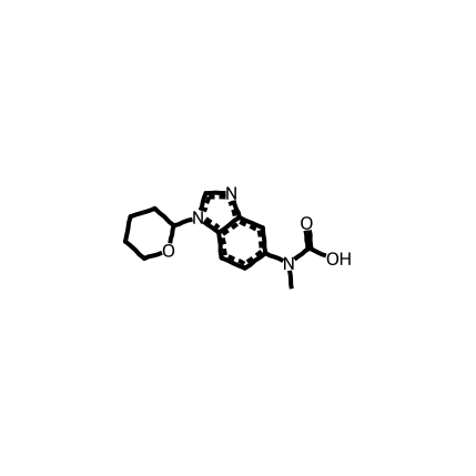 CN(C(=O)O)c1ccc2c(c1)ncn2C1CCCCO1